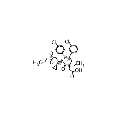 CCCS(=O)(=O)C[C@H](C1CC1)N1C(=O)[C@](CC)(CC(=O)O)C[C@H](c2cccc(Cl)c2)[C@H]1c1ccc(Cl)cc1